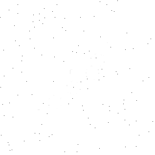 CCc1ccc(-c2ccc(-c3ccc4c(F)c(OC(F)(F)F)ccc4c3)c(F)c2)cc1